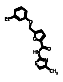 CCc1cccc(OCc2ccc(C(=O)Nc3nc(C)cs3)o2)c1